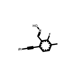 Cc1ccc(C#CC(C)C)c(/C=N/O)c1F